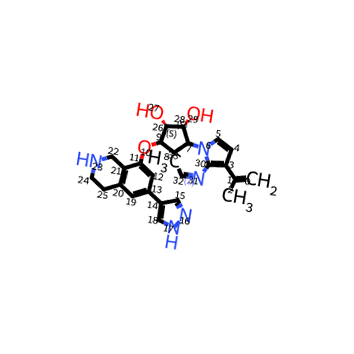 C=C(C)c1ccn(C2CC(Oc3cc(-c4cn[nH]c4)cc4c3CNCC4)[C@@H](O)[C@H]2O)c1/N=C\C